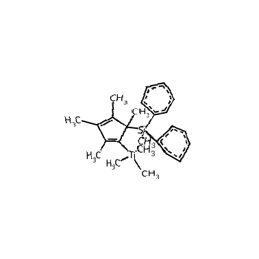 CC1=C(C)C(C)([Si](C)(c2ccccc2)c2ccccc2)[C]([Ti]([CH3])([CH3])[CH3])=C1C